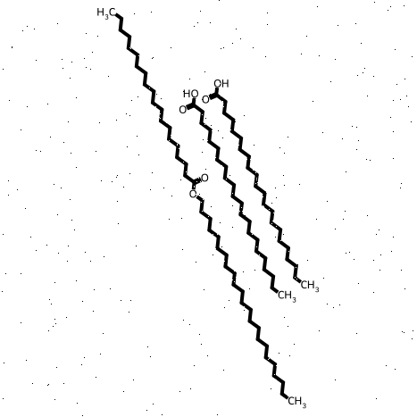 CCCCCCCCCCCCCCCCCCCCCC(=O)O.CCCCCCCCCCCCCCCCCCCCCC(=O)O.CCCCCCCCCCCCCCCCCCCCCCCOC(=O)CCCCCCCCCCCCCCCCCCC